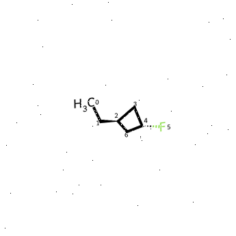 CC[C@H]1C[C@H](F)C1